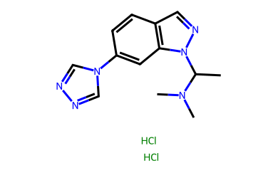 CC(N(C)C)n1ncc2ccc(-n3cnnc3)cc21.Cl.Cl